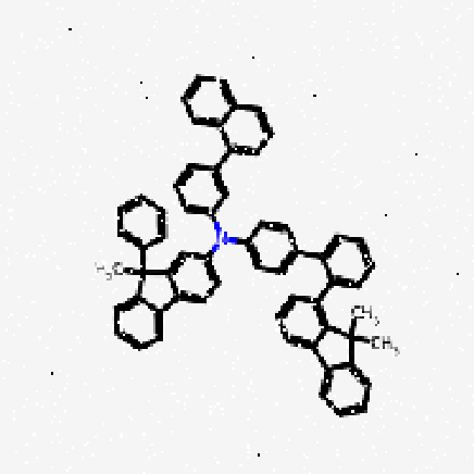 CC1(C)c2ccccc2-c2cccc(-c3ccccc3-c3ccc(N(c4cccc(-c5cccc6ccccc56)c4)c4ccc5c(c4)C(C)(c4ccccc4)c4ccccc4-5)cc3)c21